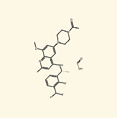 COc1cc(N2CCN(C(C)=O)CC2)cc2c(N[C@H](C)c3cccc(C(F)F)c3F)cc(C)nc12.O=CO